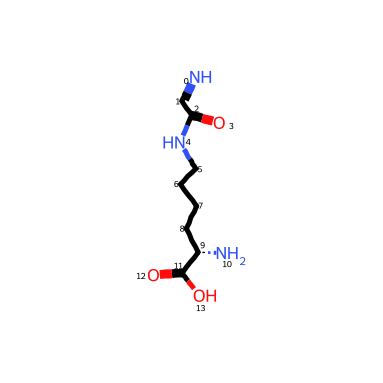 N=CC(=O)NCCCC[C@H](N)C(=O)O